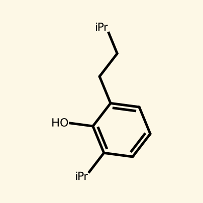 CC(C)CCc1cccc(C(C)C)c1O